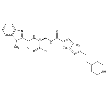 NC1C(C(=O)N[C@@H](CNC(=O)c2cc3cc(CCC4CCNCC4)sc3s2)C(=O)O)=Nc2ccccc21